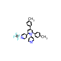 Cc1ccc(-c2cc(-c3ccncc3)[n+](-c3ccncc3)c(-c3ccc(C)cc3)c2)cc1.F[B-](F)(F)F